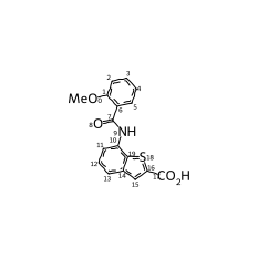 COc1ccccc1C(=O)Nc1cccc2cc(C(=O)O)sc12